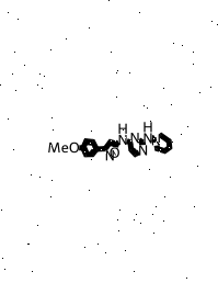 COc1ccc(-c2cc(Nc3ccnc(NN4CCCCC4)n3)on2)cc1